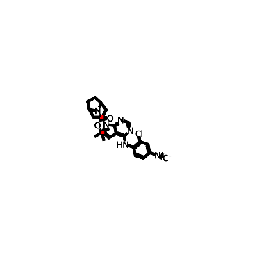 [C-]#[N+]c1ccc(Nc2ncnc3c2ccn3C2CC3CCC(C2)N3C(=O)OC(C)(C)C)c(Cl)c1